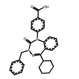 O=C(O)c1ccc(N2C(=O)N(Cc3ccccc3)N=C(C3CCCCC3)c3ccccc32)cc1